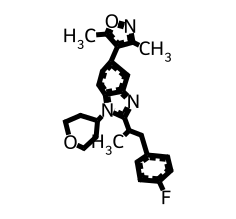 Cc1noc(C)c1-c1ccc2c(c1)nc(C(C)Cc1ccc(F)cc1)n2C1CCOCC1